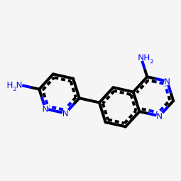 Nc1ccc(-c2ccc3ncnc(N)c3c2)nn1